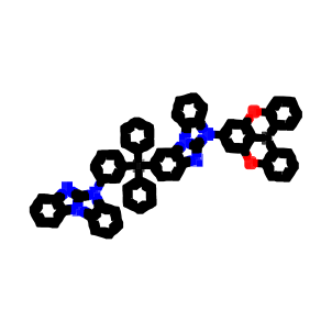 c1ccc([Si](c2ccccc2)(c2cccc(-n3c4ccccc4n4c5ccccc5nc34)c2)c2ccc3nc4n(-c5cc6c7c(c5)Oc5ccccc5B7c5ccccc5O6)c5ccccc5n4c3c2)cc1